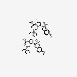 CC[Si](CC)(CC)OC[C@H]1[C@@H](N(Cc2ccc(OC)cc2)S(C)(=O)=O)C[C@@H](C)N1C(=O)OC.CC[Si](CC)(CC)OC[C@H]1[C@@H](N(Cc2ccc(OC)cc2)S(C)(=O)=O)C[C@@H](C)N1C(=O)OC